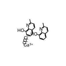 Cc1ccc2cccc(O)c2n1.Cc1ccc2cccc(O)c2n1.[Cl-].[Cl-].[Cl-].[Ga+3]